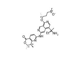 CC[C@@](C)(N)c1cnc(O[C@H](C)CC[S@@+](C)[O-])c2cnc(Nc3ccc4c(n3)[C@@H](C)[C@H](C)OC4=O)cc12